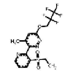 CCS(=O)(=O)c1cccnc1-c1nnc(OCC(F)(F)C(F)(F)F)cc1C